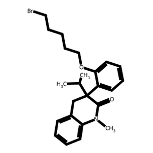 CC(C)C1(c2ccccc2OCCCCCBr)Cc2ccccc2N(C)C1=O